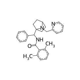 Cc1cccc(C)c1C(=O)NC(c1ccccc1)C12CCC(CC1)N2Cc1ccccn1